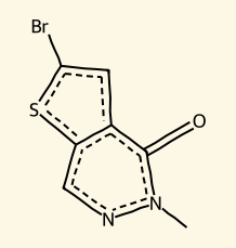 Cn1ncc2sc(Br)cc2c1=O